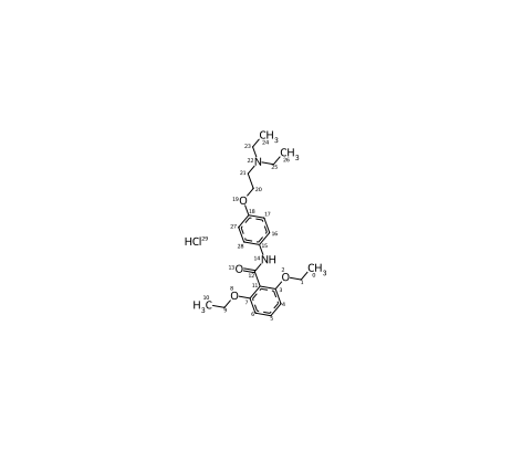 CCOc1cccc(OCC)c1C(=O)Nc1ccc(OCCN(CC)CC)cc1.Cl